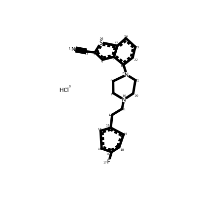 Cl.N#Cc1cc2c(N3CCN(CCc4ccc(F)cc4)CC3)cccc2s1